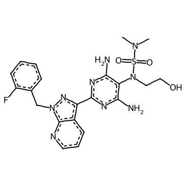 CN(C)S(=O)(=O)N(CCO)c1c(N)nc(-c2nn(Cc3ccccc3F)c3ncccc23)nc1N